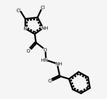 O=C(NNOC(=O)c1nc(Cl)c(Cl)[nH]1)c1ccccc1